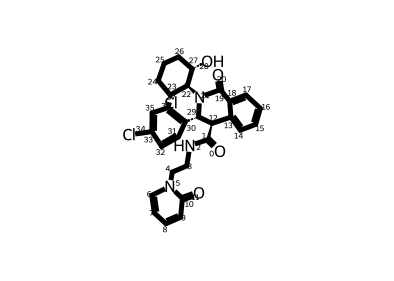 O=C(NCCn1ccccc1=O)[C@@H]1c2ccccc2C(=O)N([C@H]2CCCC[C@@H]2O)[C@H]1c1ccc(Cl)cc1Cl